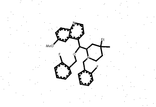 CCC1(C)CCN(Cc2ccccc2F)C(C(OCc2ccccc2F)c2ccnc3ccc(OC)cc23)C1